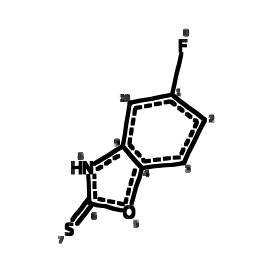 Fc1ccc2oc(=S)[nH]c2c1